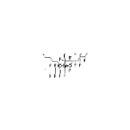 CCCCC[O][Sn]([O]CCCCC)([C](F)(F)C(F)(F)C(F)(F)C(F)(F)F)[C](F)(F)C(F)(F)C(F)(F)C(F)(F)F